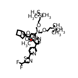 CC(C)(C)OC(=O)N1C2CCC1CC(c1cc(N(COCC[Si](C)(C)C)COCC[Si](C)(C)C)n3ncc(-c4ccc(-c5ncc(C(F)F)s5)nc4)c3n1)C2